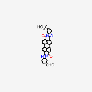 O=Cc1ccc2nc3c4ccc5c6ccc7c(=O)n8c9cc(C(=O)O)ccc9nc8c8ccc(c9ccc(c(=O)n3c2c1)c4c59)c6c78